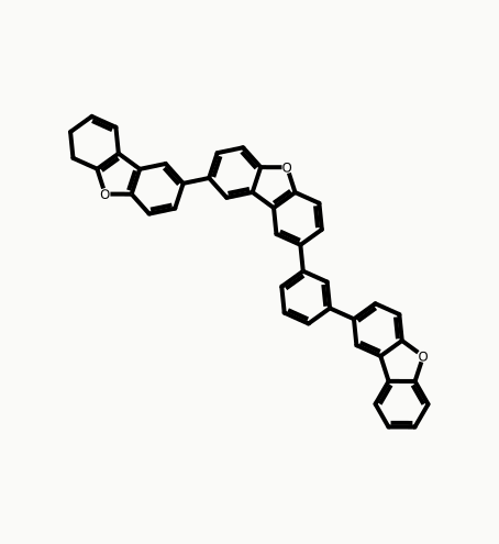 C1=Cc2c(oc3ccc(-c4ccc5oc6ccc(-c7cccc(-c8ccc9oc%10ccccc%10c9c8)c7)cc6c5c4)cc23)CC1